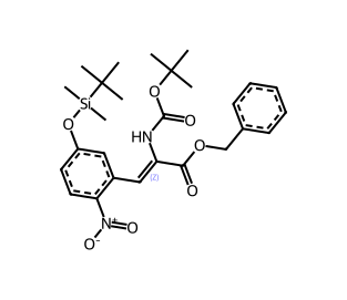 CC(C)(C)OC(=O)N/C(=C\c1cc(O[Si](C)(C)C(C)(C)C)ccc1[N+](=O)[O-])C(=O)OCc1ccccc1